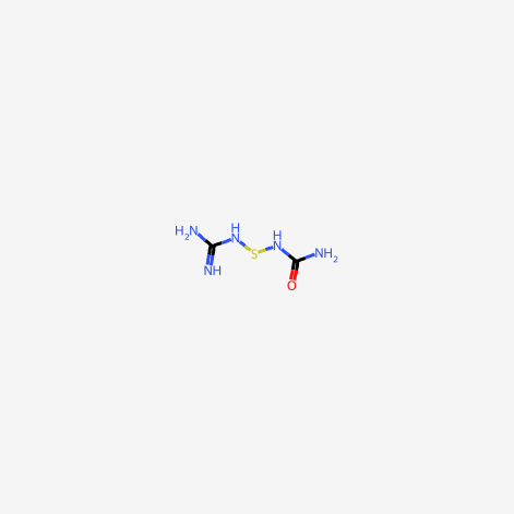 N=C(N)NSNC(N)=O